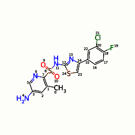 Cc1cc(N)cnc1S(=O)(=O)Nc1nc(-c2ccc(F)c(Cl)c2)cs1